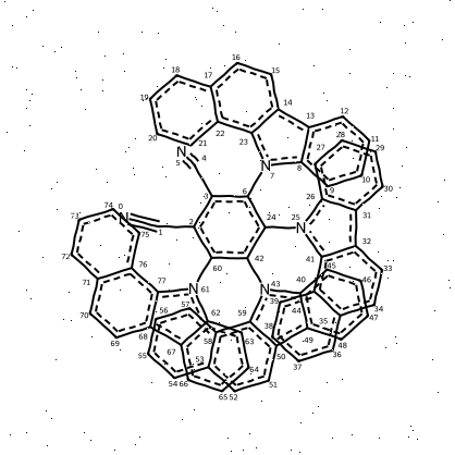 N#Cc1c(C#N)c(-n2c3ccccc3c3ccc4ccccc4c32)c(-n2c3ccccc3c3ccc4ccccc4c32)c(-n2c3ccccc3c3ccc4ccccc4c32)c1-n1c2ccccc2c2ccc3ccccc3c21